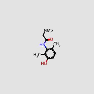 CNCC(=O)Nc1c(C)ccc(O)c1C